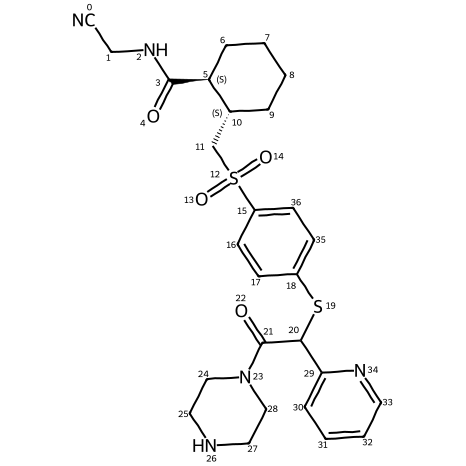 N#CCNC(=O)[C@H]1CCCC[C@@H]1CS(=O)(=O)c1ccc(SC(C(=O)N2CCNCC2)c2ccccn2)cc1